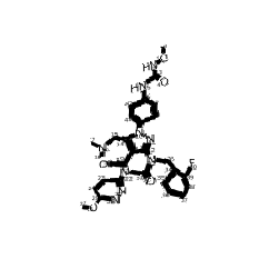 CONC(=O)Nc1ccc(-n2nc3c(c2CN(C)C)c(=O)n(-c2ccc(OC)nn2)c(=O)n3Cc2ccccc2F)cc1